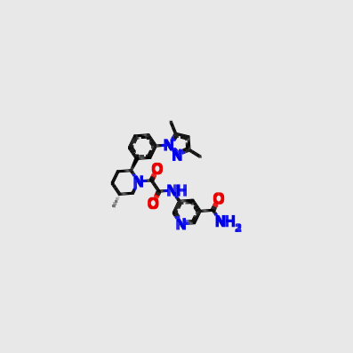 Cc1cc(C)n(-c2cccc([C@@H]3CC[C@@H](C)CN3C(=O)C(=O)Nc3cncc(C(N)=O)c3)c2)n1